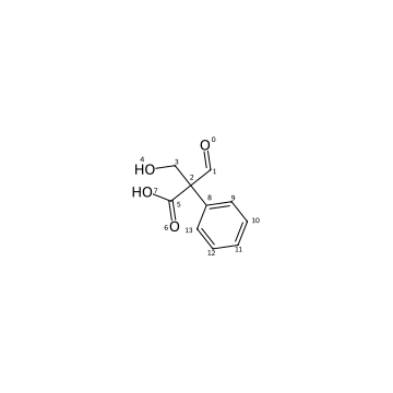 O=CC(CO)(C(=O)O)c1ccccc1